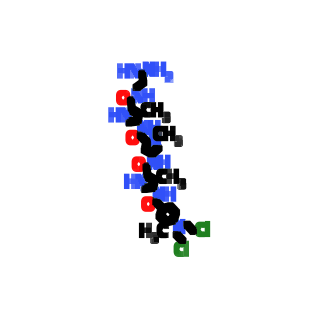 Cc1cc(C(=O)Nc2c[nH]c(C(=O)Nc3cc(C(=O)Nc4c[nH]c(C(=O)NCCC(=N)N)c4C)n(C)c3)c2C)ccc1N(CCCl)CCCl